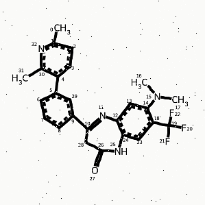 Cc1ccc(-c2cccc(C3=Nc4cc(N(C)C)c(C(F)(F)F)cc4NC(=O)C3)c2)c(C)n1